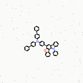 c1ccc(-c2ccc(N(c3ccc(-c4ccccc4)cc3)c3ccc(-c4cc5c6ccccc6n(-c6ccccc6)c5c5c4oc4ccccc45)cc3)cc2)cc1